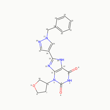 O=c1[nH]c(=O)n(C2CCOC2)c2nc(-c3cnn(Cc4ccccc4)c3)[nH]c12